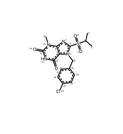 CC(C)S(=O)(=O)c1nc2c(c(=O)[nH]c(=O)n2C)n1Cc1ccc(Cl)cc1